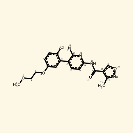 COCCOc1ccc(Cl)c(-c2ccc(NC(=O)c3conc3C)nc2N)c1